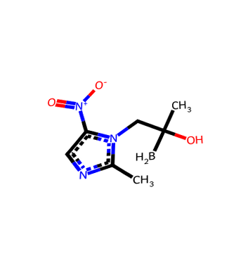 BC(C)(O)Cn1c([N+](=O)[O-])cnc1C